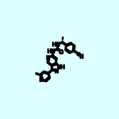 Cc1cc(-c2n[nH]c3cc(NC(=O)N[C@H](C)c4ccc(C#N)cc4)ncc23)ccn1